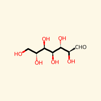 O=C[C@@H](O)[C@@H](O)[C@@H](O)[C@H](O)[C@H](O)CO